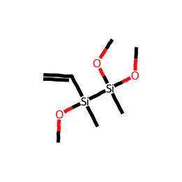 C=C[Si](C)(OC)[Si](C)(OC)OC